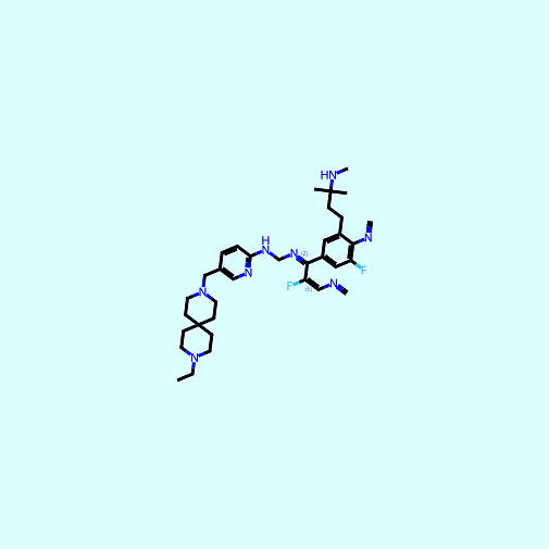 C=N/C=C(F)\C(=N/CNc1ccc(CN2CCC3(CCN(CC)CC3)CC2)cn1)c1cc(F)c(N=C)c(CCC(C)(C)NC)c1